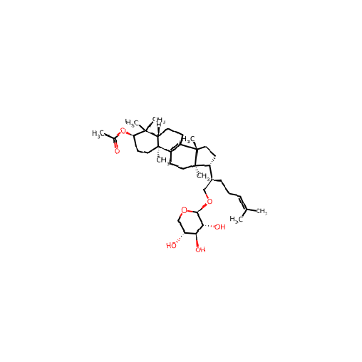 CC(=O)O[C@@H]1CC[C@]2(C)C3=C(CC[C@H]2C1(C)C)[C@]1(C)CC[C@H]([C@@H](CCC=C(C)C)CO[C@@H]2OC[C@@H](O)[C@H](O)[C@H]2O)[C@@]1(C)CC3